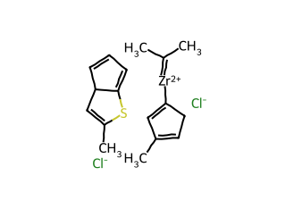 CC1=CC2C=CC=C2S1.CC1=CC[C]([Zr+2]=[C](C)C)=C1.[Cl-].[Cl-]